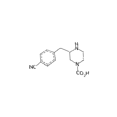 N#Cc1ccc(CC2CN(C(=O)O)CCN2)cc1